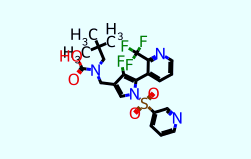 CC(C)(C)CN(Cc1cn(S(=O)(=O)c2cccnc2)c(-c2cccnc2C(F)(F)F)c1F)C(=O)O